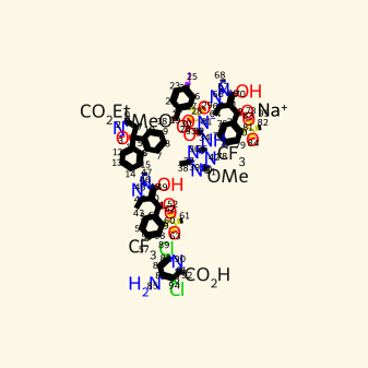 CCOC(=O)C1=NOC(c2ccccc2)(c2ccccc2)C1.COC(=O)c1ccc(I)cc1S(=O)(=O)[N-]C(=O)Nc1nc(C)nc(OC)n1.Cc1nn(C)c(O)c1C(=O)c1ccc(C(F)(F)F)cc1S(C)(=O)=O.Cc1nn(C)c(O)c1C(=O)c1ccc(C(F)(F)F)cc1S(C)(=O)=O.Nc1cc(Cl)nc(C(=O)O)c1Cl.[Na+]